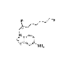 Cc1nc2cc(N)ccc2n1C[C@H](CCCCCCF)C(C)C